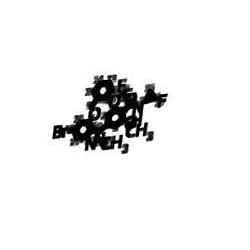 COc1cc(-c2c3c(OCc4ccccc4)cc(Br)cc3nn2C)cc(OC(F)F)c1C(=O)N[C@@H]1C[C@@H]1F